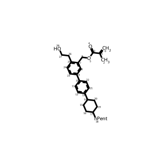 C=C(C)C(=O)OCc1cc(-c2ccc(C3CCC(CCCCC)CC3)cc2)ccc1CCO